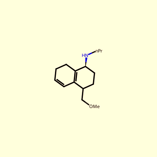 CCCN[C@H]1CCC(COC)C2=C1CCC=C2